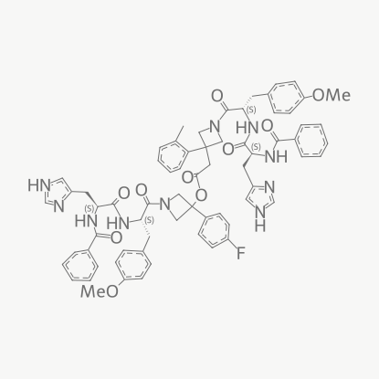 COc1ccc(C[C@H](NC(=O)[C@H](Cc2c[nH]cn2)NC(=O)c2ccccc2)C(=O)N2CC(CC(=O)OC3(c4ccc(F)cc4)CN(C(=O)[C@H](Cc4ccc(OC)cc4)NC(=O)[C@H](Cc4c[nH]cn4)NC(=O)c4ccccc4)C3)(c3ccccc3C)C2)cc1